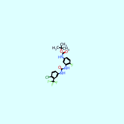 CC(C)(C)OC(=O)Nc1ccc(F)c(NC(=O)Nc2ccc(Cl)c(C(F)(F)F)c2)c1